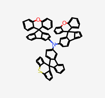 c1ccc2c(c1)Oc1ccccc1C21c2ccccc2-c2cc(N(c3ccc4c(c3)-c3ccccc3C43c4ccccc4Sc4ccccc43)c3ccc4c(c3)C3(c5ccccc5Oc5ccccc53)c3ccccc3-4)ccc21